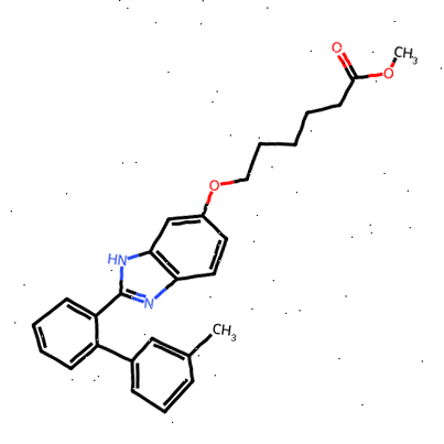 COC(=O)CCCCCOc1ccc2nc(-c3ccccc3-c3cccc(C)c3)[nH]c2c1